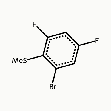 CSc1c(F)cc(F)cc1Br